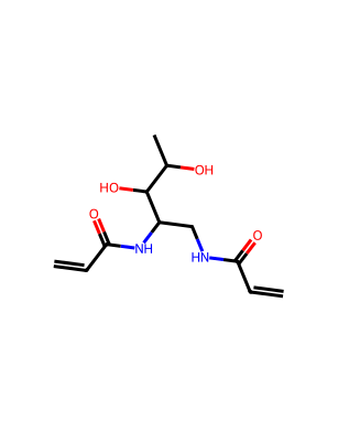 C=CC(=O)NCC(NC(=O)C=C)C(O)C(C)O